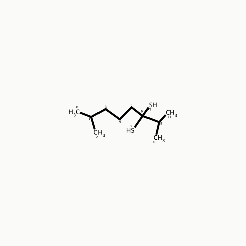 CC(C)CCCC(S)(S)C(C)C